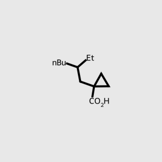 CCCCC(CC)CC1(C(=O)O)CC1